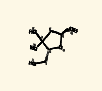 OC[C@H]1O[C@H](O)CC1(O)O